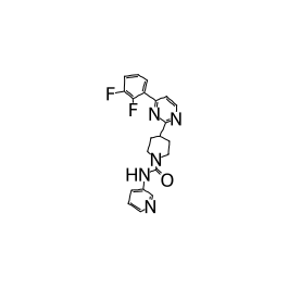 O=C(Nc1cccnc1)N1CCC(c2nccc(-c3cccc(F)c3F)n2)CC1